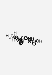 Cc1cc(Nc2nc(Sc3ccc(NC(=O)CN4CCCCC4CO)cc3)nn3cccc23)n[nH]1